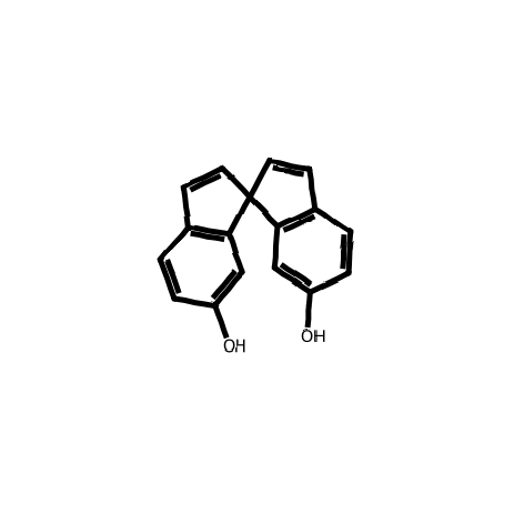 Oc1ccc2c(c1)C1(C=C2)C=Cc2ccc(O)cc21